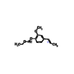 C/C=C/c1ccc(OPOCC)c(OC)c1